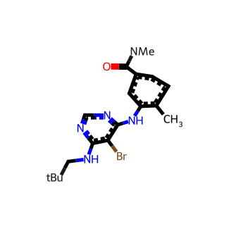 CNC(=O)c1ccc(C)c(Nc2ncnc(NCC(C)(C)C)c2Br)c1